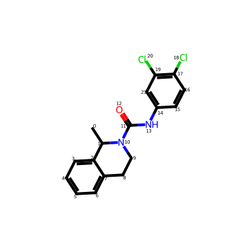 CC1c2ccccc2CCN1C(=O)Nc1ccc(Cl)c(Cl)c1